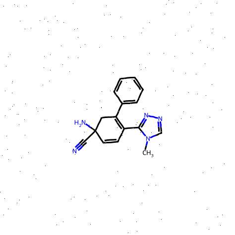 Cn1cnnc1C1=C(c2ccccc2)CC(N)(C#N)C=C1